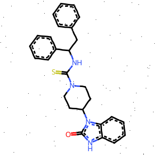 O=c1[nH]c2ccccc2n1C1CCN(C(=S)NC(Cc2ccccc2)c2ccccc2)CC1